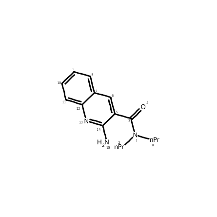 CCCN(CCC)C(=O)c1cc2ccccc2nc1N